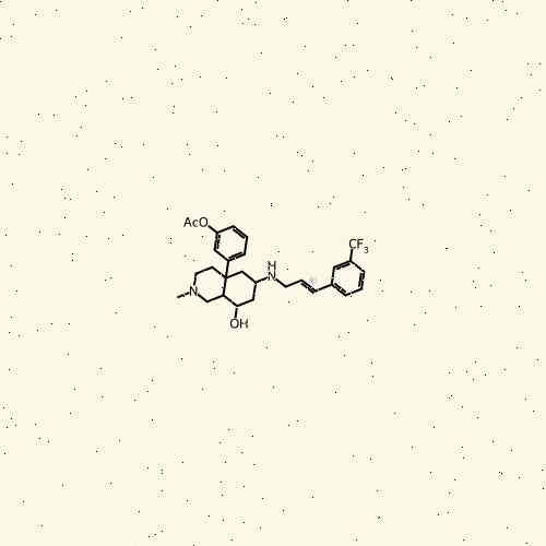 CC(=O)Oc1cccc(C23CCN(C)CC2C(O)CC(NC/C=C/c2cccc(C(F)(F)F)c2)C3)c1